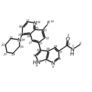 CNC(=O)c1cnc2[nH]cc(-c3cc(F)c4nccc(N5CCCCC5)c4c3)c2c1